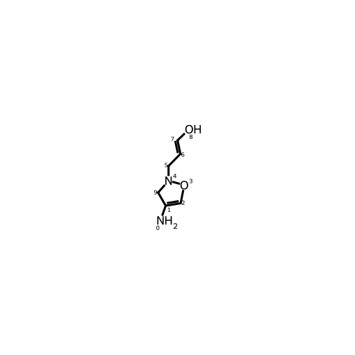 NC1=CON(CC=CO)C1